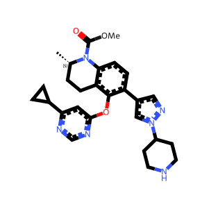 COC(=O)N1c2ccc(-c3cnn(C4CCNCC4)c3)c(Oc3cc(C4CC4)ncn3)c2CC[C@@H]1C